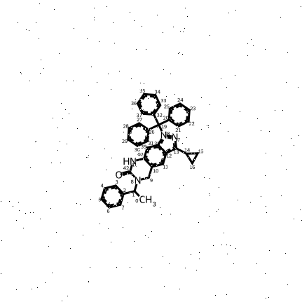 CC(c1ccccc1)N1Cc2cc3c(C4CC4)nn(C(c4ccccc4)(c4ccccc4)c4ccccc4)c3cc2NC1=O